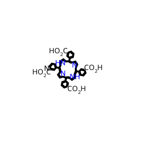 O=C(O)c1cccc(-c2c3nc(c(-c4cccc(C(=O)O)c4)c4ccc([nH]4)c(-c4cccc(C(=O)O)c4)c4nc(c(-c5cccc(C(=O)O)c5)c5ccc2[nH]5)C=C4)C=C3)c1.[Ni]